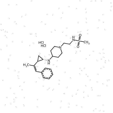 CC(=Cc1ccccc1)C1C[C@@H]1NC1CCN(CCNS(C)(=O)=O)CC1.Cl.Cl